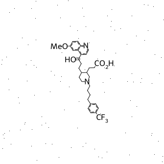 COc1ccc2nccc([C@@H](O)CCC3CCN(CCCCc4ccc(C(F)(F)F)cc4)CC3CCC(=O)O)c2c1